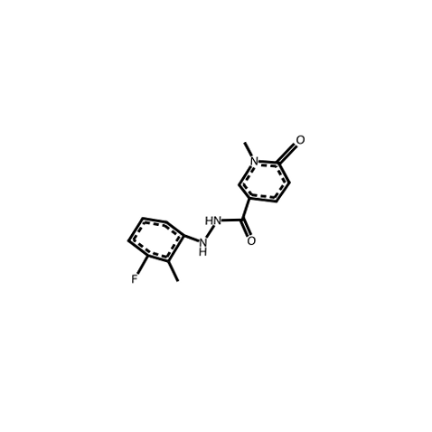 Cc1c(F)cccc1NNC(=O)c1ccc(=O)n(C)c1